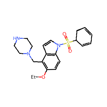 CCOc1ccc2c(ccn2S(=O)(=O)C2C=CC=CC2)c1CN1CCNCC1